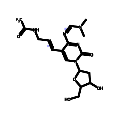 CN(C)/C=N\c1nc(=O)n(C2CC(O)C(CO)O2)cc1/C=C/CNC(=O)C(F)(F)F